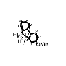 COC1=CC(C)(N)C(c2ccccc2C)C=C1